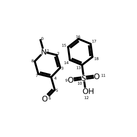 CN1C=CC(C=O)=CC1.O=S(=O)(O)c1ccccc1